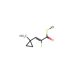 CCSC(=O)C(F)=CC1(C(=O)O)CC1